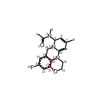 CC(=O)N(C)C1C=C(C)C=C(N2CCOCC2)N1Cc1cccc(F)c1